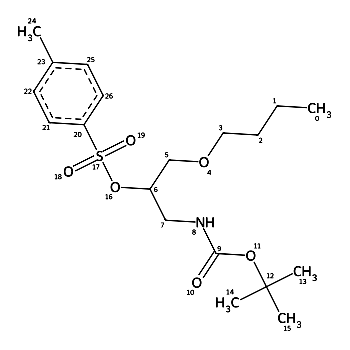 CCCCOCC(CNC(=O)OC(C)(C)C)OS(=O)(=O)c1ccc(C)cc1